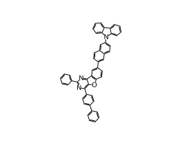 c1ccc(-c2ccc(-c3nc(-c4ccccc4)nc4c3oc3ccc(-c5ccc6cc(-n7c8ccccc8c8ccccc87)ccc6c5)cc34)cc2)cc1